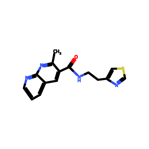 Cc1nc2ncccc2cc1C(=O)NCCc1cscn1